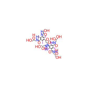 O=C(CO)Nc1c(I)c(C(=O)CC(=O)N(NCC(O)CO)c2c(I)c(C(=O)NCC(O)CO)c(I)c(C(=O)NCC(O)CO)c2I)c(I)c(C(=O)NCC(O)CO)c1I